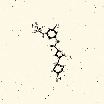 Cc1sc(C(=O)Nc2cc(Cl)cc(NS(C)(=O)=O)c2)cc1-c1ncc(O)cn1